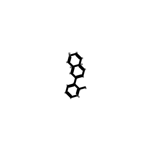 Cc1ncccc1-c1ccc2ccncc2c1